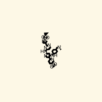 CN(C)CC1CCC(Nc2cc(Nc3ccnc(-c4cnn(S(=O)(=O)C5CC5)c4)n3)ncc2-c2ccc(S(C)(=O)=O)cn2)CC1